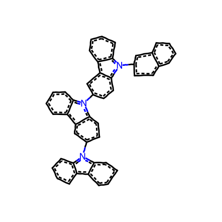 c1ccc2cc(-n3c4ccccc4c4cc(-n5c6ccccc6c6cc(-n7c8ccccc8c8ccccc87)ccc65)ccc43)ccc2c1